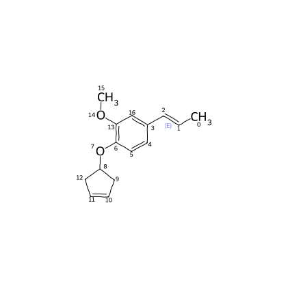 C/C=C/c1ccc(OC2CC=CC2)c(OC)c1